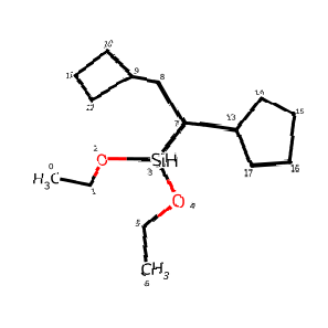 CCO[SiH](OCC)C(CC1CCC1)C1CCCC1